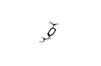 CCC(C(C)C)[C@H]1CC[C@@H](NC(N)=O)CC1